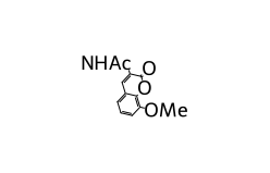 COc1cccc2cc(NC(C)=O)c(=O)oc12